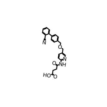 N#Cc1ccccc1-c1ccc(COCc2ccc(NC(=O)CCC(=O)O)nc2)cc1